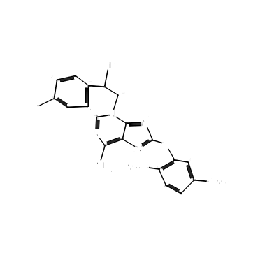 COc1ccc(OC)c(Sc2nc3c(N)ncn(CC(c4ccc(Cl)cc4)C(C)C)c-3n2)c1